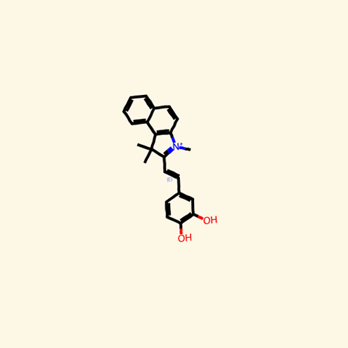 C[N+]1=C(/C=C/c2ccc(O)c(O)c2)C(C)(C)c2c1ccc1ccccc21